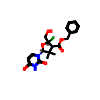 CC1(C)C(C(=O)OCc2ccccc2)[C@@](F)(CO)O[C@H]1n1ccc(=O)[nH]c1=O